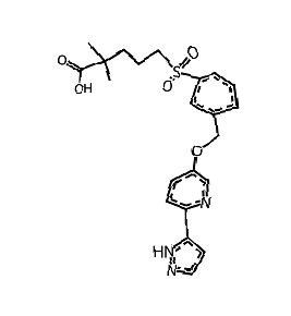 CC(C)(CCCS(=O)(=O)c1cccc(COc2ccc(-c3ccn[nH]3)nc2)c1)C(=O)O